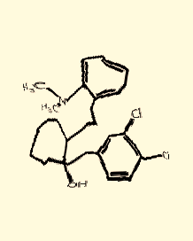 CN(C)c1ccccc1CC1CCCCC1(O)c1ccc(Cl)c(Cl)c1